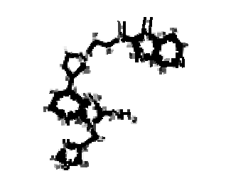 Nc1nc2c(C3CCN(CCNc4nc5cnccc5[nH]4)C3)ccnc2n1Cc1cscn1